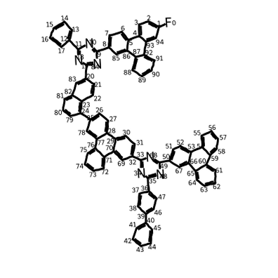 Fc1ccc2c3ccc(-c4nc(-c5ccccc5)nc(-c5ccc6c(-c7ccc8c9ccc(-c%10nc(-c%11ccc(-c%12ccccc%12)cc%11)nc(-c%11ccc%12c%13ccccc%13c%13ccccc%13c%12c%11)n%10)cc9c9ccccc9c8c7)cccc6c5)n4)cc3c3ccccc3c2c1